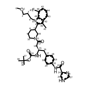 COCCCn1c(C2CCCN(C(=O)C[C@@H](Cc3ccc(NC(=O)c4c[nH]cn4)cc3)NC(=O)OC(C)(C)C)C2)c(C)c2cccc(F)c21